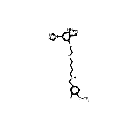 Fc1cc(CNCCCCOCCOc2cc(-n3cnnc3)cc3[nH]ncc23)ccc1OC(F)(F)F